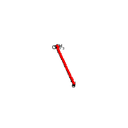 C[Si](Cl)(Cl)CCCCCCCCCCCCCCCCCCCCCCCCCCCCCCCCCCCCCCCN=C=O